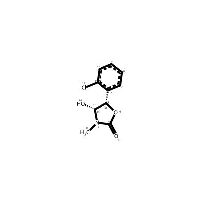 CN1C(=O)O[C@@H](c2ccccc2Cl)[C@H]1O